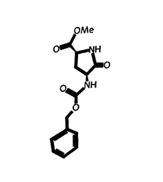 COC(=O)[C@@H]1C[C@H](NC(=O)OCc2ccccc2)C(=O)N1